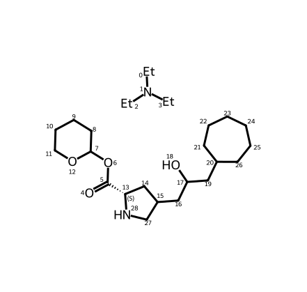 CCN(CC)CC.O=C(OC1CCCCO1)[C@@H]1CC(CC(O)CC2CCCCCC2)CN1